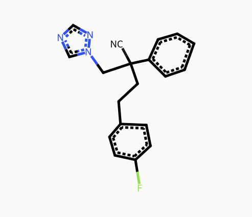 N#CC(CCc1ccc(F)cc1)(Cn1cncn1)c1ccccc1